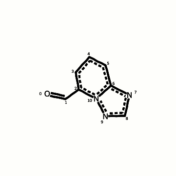 O=Cc1cccc2ncnn12